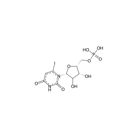 O=c1cc(I)n([C@@H]2O[C@H](COP(=O)(O)O)[C@H](O)C2O)c(=O)[nH]1